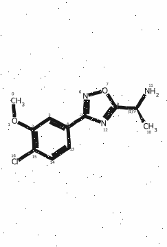 COc1cc(-c2noc([C@H](C)N)n2)ccc1Cl